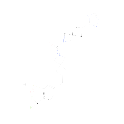 CS(=O)(=O)c1cc(CC2CC3(C2)CN(C(=O)N2CC4(CC(c5ncn[nH]5)C4)C2)C3)ccc1C(F)(F)F